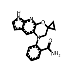 NC(=O)c1ccccc1N1CC2(CC2)Oc2nc3[nH]ccc3cc21